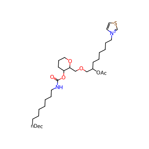 CCCCCCCCCCCCCCCCCNC(=O)OC1CCCOC1COCC(CCCCCC[n+]1ccsc1)OC(C)=O